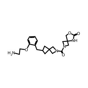 NCCOc1ccccc1CC1CC2(C1)CN(C(=O)N1CC3(COC(=O)N3)C1)C2